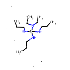 CCCN[Si](NCCC)(NCCC)N(CC)CC